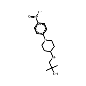 CC(C)(O)CNC1CCN(c2ccc([N+](=O)[O-])cc2)CC1